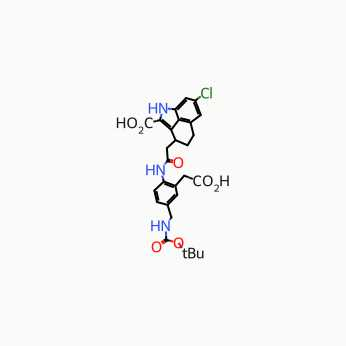 CC(C)(C)OC(=O)NCc1ccc(NC(=O)CC2CCc3cc(Cl)cc4[nH]c(C(=O)O)c2c34)c(CC(=O)O)c1